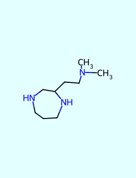 CN(C)CCC1CNCCCN1